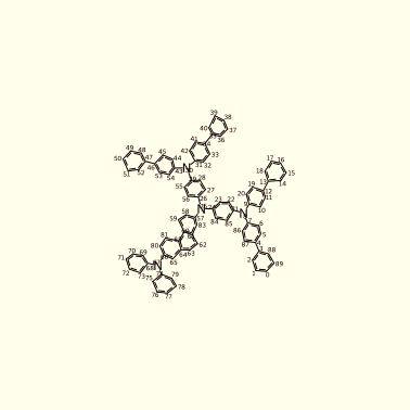 c1ccc(-c2ccc(N(c3ccc(-c4ccccc4)cc3)c3ccc(N(c4ccc(N(c5ccc(-c6ccccc6)cc5)c5ccc(-c6ccccc6)cc5)cc4)c4ccc5c(ccc6cc(N(c7ccccc7)c7ccccc7)ccc65)c4)cc3)cc2)cc1